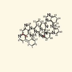 C1=CCC(c2ccncc2)C(Nc2cccc3ncn(-c4nc5ncnc6nc(-n7cnc8cccc(Nc9cccn9-c9ccncc9)c87)c7ccc4c7n56)c23)=C1